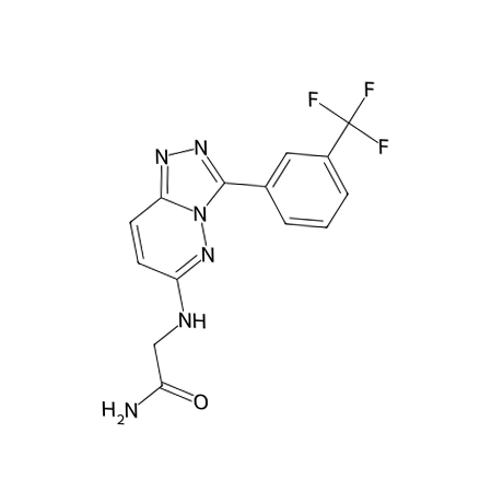 NC(=O)CNc1ccc2nnc(-c3cccc(C(F)(F)F)c3)n2n1